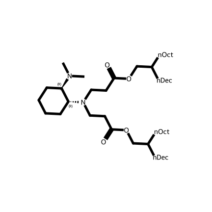 CCCCCCCCCCC(CCCCCCCC)COC(=O)CCN(CCC(=O)OCC(CCCCCCCC)CCCCCCCCCC)[C@@H]1CCCC[C@H]1N(C)C